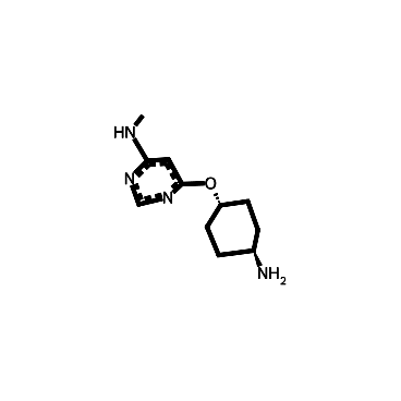 CNc1cc(O[C@H]2CC[C@H](N)CC2)ncn1